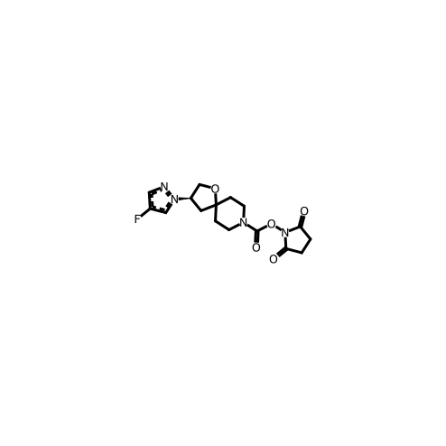 O=C(ON1C(=O)CCC1=O)N1CCC2(CC1)C[C@@H](n1cc(F)cn1)CO2